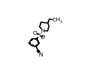 CCC1CCN(S(=O)(=O)c2cccc(C#N)c2)CC1